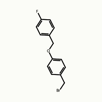 Fc1ccc(COc2ccc(CBr)cc2)cc1